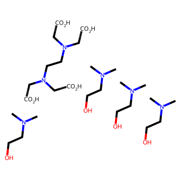 CN(C)CCO.CN(C)CCO.CN(C)CCO.CN(C)CCO.O=C(O)CN(CCN(CC(=O)O)CC(=O)O)CC(=O)O